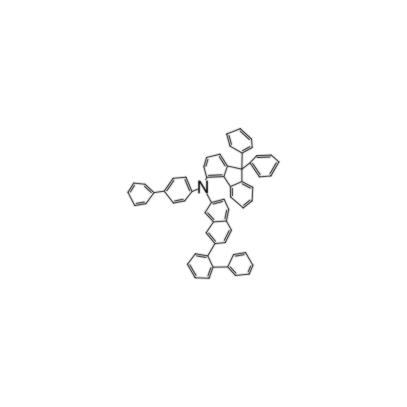 c1ccc(-c2ccc(N(c3ccc4ccc(-c5ccccc5-c5ccccc5)cc4c3)c3cccc4c3-c3ccccc3C4(c3ccccc3)c3ccccc3)cc2)cc1